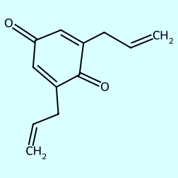 C=CCC1=CC(=O)C=C(CC=C)C1=O